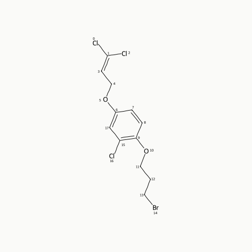 ClC(Cl)=CCOc1ccc(OCCCBr)c(Cl)c1